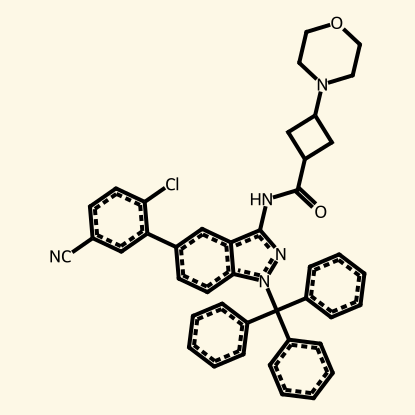 N#Cc1ccc(Cl)c(-c2ccc3c(c2)c(NC(=O)C2CC(N4CCOCC4)C2)nn3C(c2ccccc2)(c2ccccc2)c2ccccc2)c1